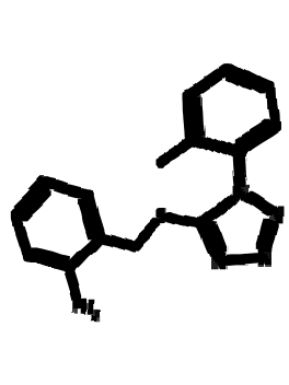 Cc1ccccc1-n1nnnc1SCc1ccccc1P